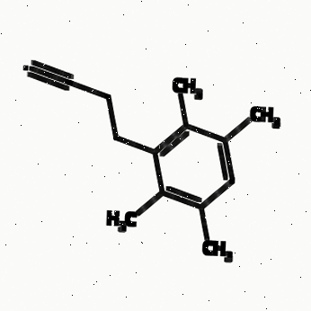 [C]#CCCc1c(C)c(C)cc(C)c1C